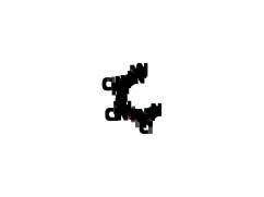 Cc1nc(C)nc(N2CCN(c3nc(Cl)nc(N4CCN(c5nc(Cl)nc(N6CCN(c7nc(Cl)nc(N8CCN(C)CC8)n7)CC6)n5)CC4)n3)CC2)n1